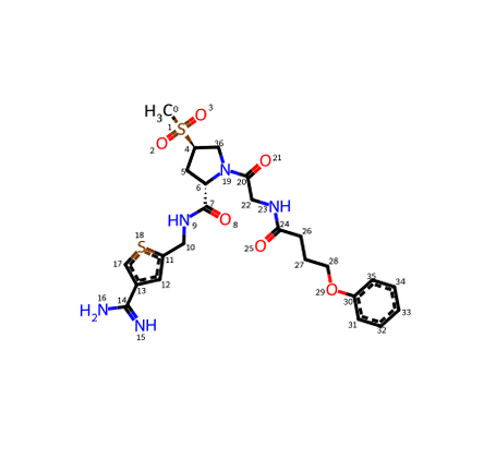 CS(=O)(=O)[C@@H]1C[C@@H](C(=O)NCc2cc(C(=N)N)cs2)N(C(=O)CNC(=O)CCCOc2ccccc2)C1